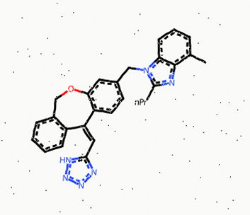 CCCc1nc2c(C)cccc2n1Cc1ccc2c(c1)OCc1ccccc1C2=Cc1nnn[nH]1